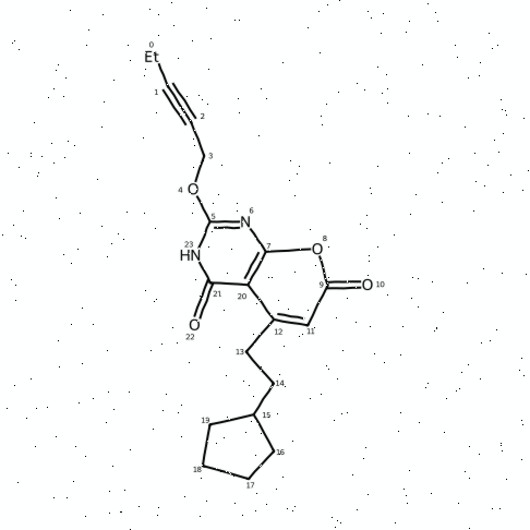 CCC#CCOc1nc2oc(=O)cc(CCC3CCCC3)c2c(=O)[nH]1